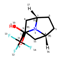 O=C(O)N1[C@@H]2CC[C@H]1C[C@](O)(C(F)(F)F)C2